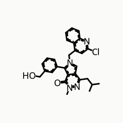 CC(C)Cc1nn(C)c(=O)c2c(-c3cccc(CO)c3)n(Cc3cc(Cl)nc4ccccc34)cc12